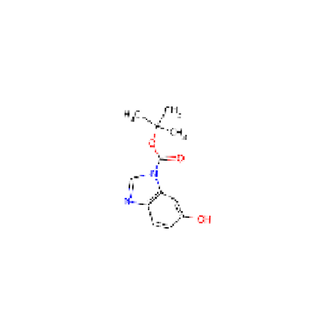 CC(C)(C)OC(=O)n1cnc2ccc(O)cc21